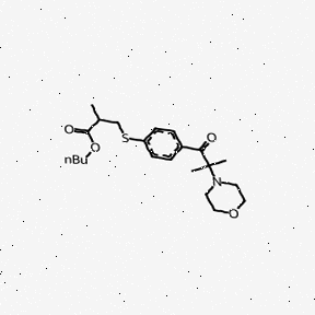 CCCCOC(=O)C(C)CSc1ccc(C(=O)C(C)(C)N2CCOCC2)cc1